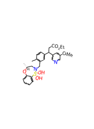 CCOC(=O)CC(c1cncc(OC)c1)c1ccc(C)c(CN2C[C@@H](C)Oc3ccccc3S2(O)O)c1